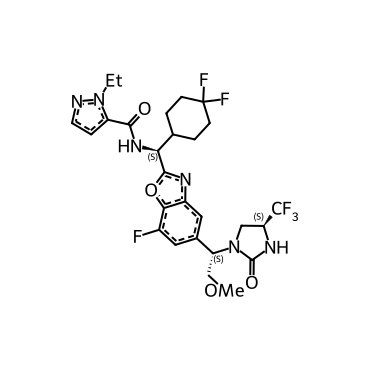 CCn1nccc1C(=O)N[C@H](c1nc2cc([C@@H](COC)N3C[C@@H](C(F)(F)F)NC3=O)cc(F)c2o1)C1CCC(F)(F)CC1